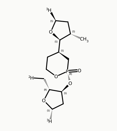 [2H]C[C@H]1O[C@@H]([3H])C[C@@H]1O[P@@]1(=O)C[C@H]([C@H]2O[C@@H]([3H])C[C@@H]2C)CCO1